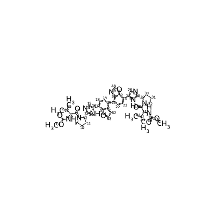 COC(=O)N[C@H](C(=O)N1CCC[C@H]1c1ncc(-c2ccc(-c3ccc(-c4cnc([C@@H]5CCCN5C(=O)[C@@H](NC(=O)OC)C(C)C)[nH]4)c4ocnc34)c3ccoc23)[nH]1)C(C)C